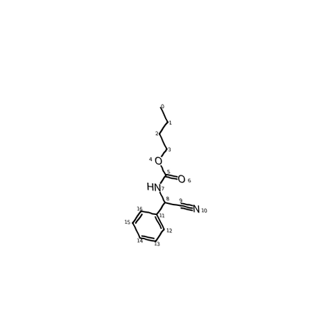 CCCCOC(=O)NC(C#N)c1ccccc1